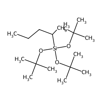 CCCC(C)[Si](OC(C)(C)C)(OC(C)(C)C)OC(C)(C)C